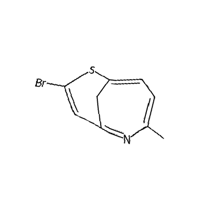 CC1=CC=C2CC(=N1)C=C(Br)S2